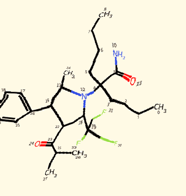 CCCCC(CCCC)(C(N)=O)N1C(C)C(c2ccccc2)C(C(=O)C(C)C)C1C(F)(F)F